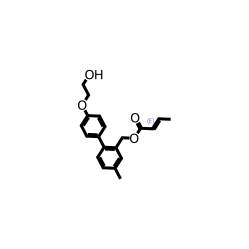 C/C=C/C(=O)OCc1cc(C)ccc1-c1ccc(OCCO)cc1